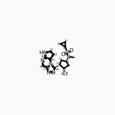 CC[C@@H]1C[C@H](N(C)S(=O)(=O)C2CC2)C[C@@H]1c1nnc2cnc3[nH]ccc3n12